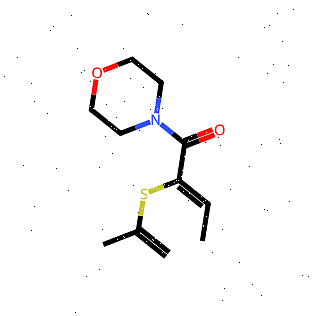 C=C(C)S/C(=C\C)C(=O)N1CCOCC1